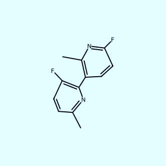 Cc1ccc(F)c(-c2ccc(F)nc2C)n1